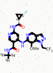 [2H]C([2H])([2H])NC(=O)c1cnc(NC(=O)[C@@H]2C[C@@H]2F)cc1Nc1ncc2cnn(CC(F)(F)F)c2c1OC